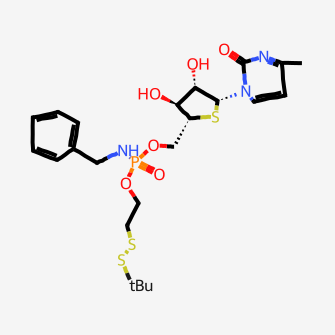 Cc1ccn([C@@H]2S[C@H](COP(=O)(NCc3ccccc3)OCCSSC(C)(C)C)[C@@H](O)[C@@H]2O)c(=O)n1